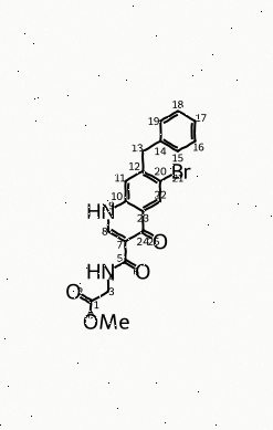 COC(=O)CNC(=O)c1c[nH]c2cc(Cc3ccccc3)c(Br)cc2c1=O